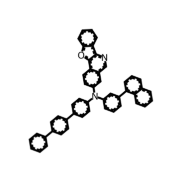 c1ccc(-c2ccc(-c3ccc(N(c4cccc(-c5cccc6ccccc56)c4)c4ccc5c(cnc6c7ccccc7oc56)c4)cc3)cc2)cc1